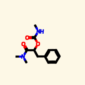 CNC(=O)OC(Cc1ccccc1)C(=O)N(C)C